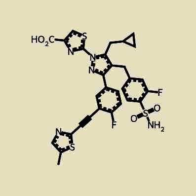 Cc1cnc(C#Cc2cc(-c3nn(-c4nc(C(=O)O)cs4)c(CC4CC4)c3Cc3ccc(S(N)(=O)=O)c(F)c3)ccc2F)s1